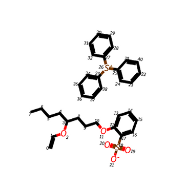 C=COC(CCCC)CCCOc1ccccc1S(=O)(=O)[O-].c1ccc([S+](c2ccccc2)c2ccccc2)cc1